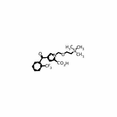 C[Si](C)(C)CCOCn1cc(C(=O)c2ccccc2C(F)(F)F)cc1C(=O)O